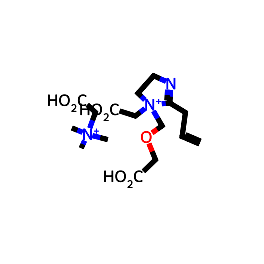 C=CCC1=NCC[N+]1(COCC(=O)O)CC(=O)O.C[N+](C)(C)CC(=O)O